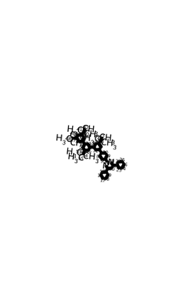 CC(C)(C)c1cc(-c2ccc(-c3nc(-c4ccccc4)cc(-c4ccccc4)n3)cc2)cc(-c2cc(-c3cc(C(C)(C)C)cc(C(C)(C)C)c3)cc(C(C)(C)C)c2)c1